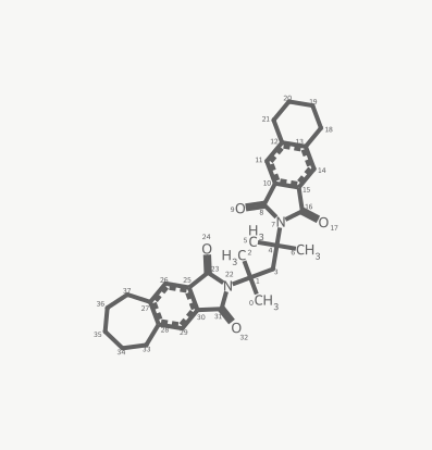 CC(C)(CC(C)(C)N1C(=O)c2cc3c(cc2C1=O)CCCC3)N1C(=O)c2cc3c(cc2C1=O)CCCCC3